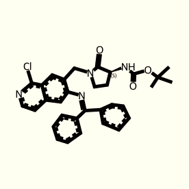 CC(C)(C)OC(=O)N[C@H]1CCN(Cc2cc3c(Cl)nccc3cc2N=C(c2ccccc2)c2ccccc2)C1=O